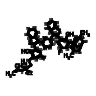 C=C(C)CC(C)(CC)CCc1cc(F)cc(-c2sc3ccccc3c2-c2cccc(-c3c(-c4cc(F)cc(C56CC7CC(C)(CC(C)(C7)C5)C6)c4O)sc4ccccc34)n2)c1O